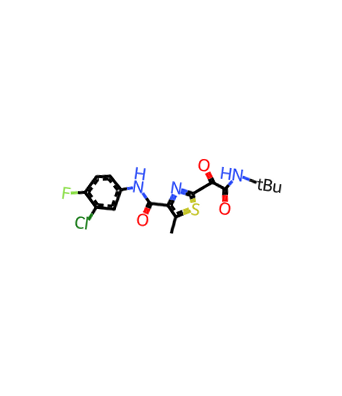 Cc1sc(C(=O)C(=O)NC(C)(C)C)nc1C(=O)Nc1ccc(F)c(Cl)c1